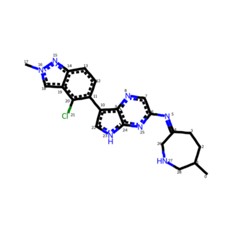 CC1CCC(=Nc2cnc3c(-c4ccc5nn(C)cc5c4Cl)c[nH]c3n2)CNC1